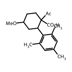 COC1CCC(C(C)=O)(C(=O)O)C(c2c(C)cc(C)cc2C)C1